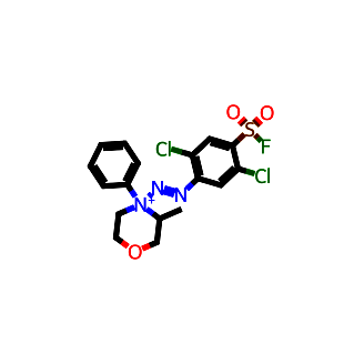 CC1COCC[N+]1(N=Nc1cc(Cl)c(S(=O)(=O)F)cc1Cl)c1ccccc1